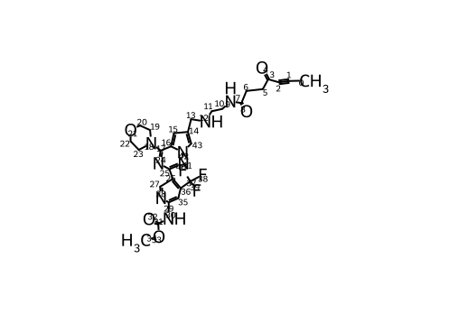 CC#CC(=O)CCC(=O)NCCNCc1cc2c(N3CCOCC3)nc(-c3cnc(NC(=O)OC)cc3C(F)(F)F)nn2c1